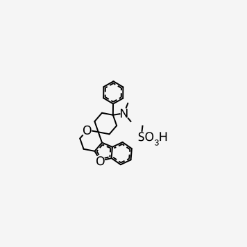 CN(C)C1(c2ccccc2)CCC2(CC1)OCCc1oc3ccccc3c12.CS(=O)(=O)O